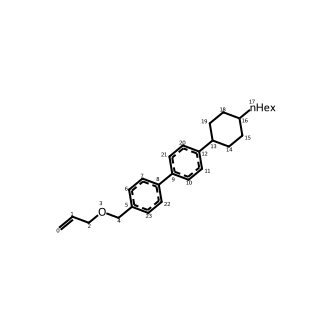 C=CCOCc1ccc(-c2ccc(C3CCC(CCCCCC)CC3)cc2)cc1